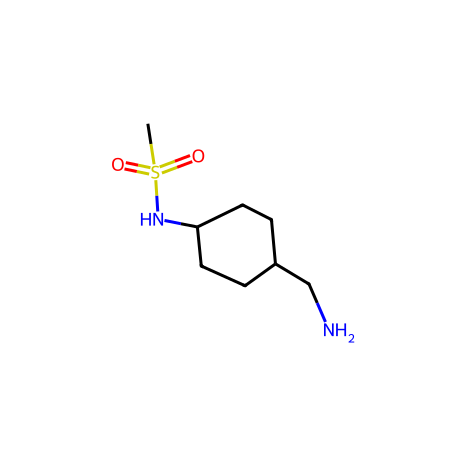 CS(=O)(=O)NC1CCC(CN)CC1